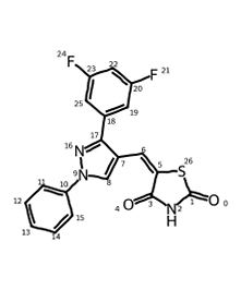 O=C1NC(=O)/C(=C\c2cn(-c3ccccc3)nc2-c2cc(F)cc(F)c2)S1